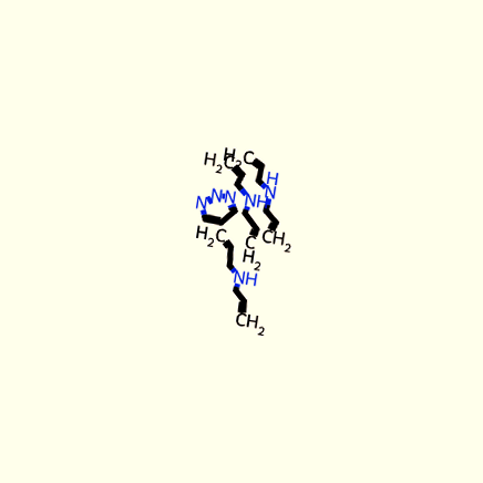 C=CCNCC=C.C=CCNCC=C.C=CCNCC=C.c1cnnnc1